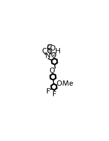 COc1cc(F)c(F)cc1-c1ccc(OCc2cccc(CN(CC(=O)O)C(=O)[C@@H]3CCCO3)c2)cc1